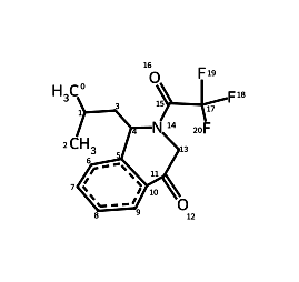 CC(C)CC1c2ccccc2C(=O)CN1C(=O)C(F)(F)F